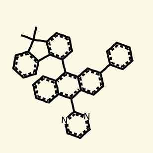 CC1(C)c2ccccc2-c2c(-c3c4ccccc4c(-c4ncccn4)c4ccc(-c5ccccc5)cc34)cccc21